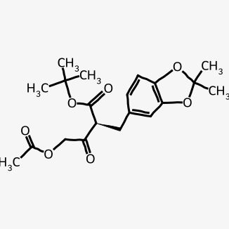 CC(=O)OCC(=O)[C@H](Cc1ccc2c(c1)OC(C)(C)O2)C(=O)OC(C)(C)C